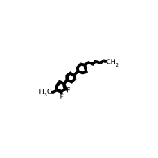 C=CCCCCC1CCC(C2CC=C(c3ccc(CC)c(F)c3F)CC2)CC1